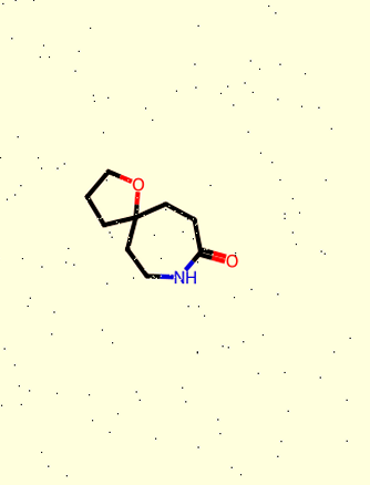 O=C1CCC2(CCCO2)CCN1